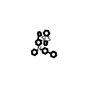 c1ccc(-c2ccc(N(c3ccccc3)c3ccc4c(c3)[Si]3(c5ccccc5Sc5ccccc53)c3ccccc3-4)cc2)cc1